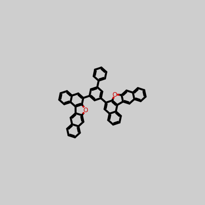 c1ccc(-c2cc(-c3cc4ccccc4c4c3oc3cc5ccccc5cc34)cc(-c3cc4ccccc4c4c3oc3cc5ccccc5cc34)c2)cc1